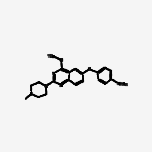 CCCCOc1nc(N2CCN(C)CC2)nc2ccc(Oc3ccc(NC(C)=O)cc3)cc12